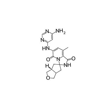 Cc1cc(Nc2cc(N)ncn2)c(=O)n2c1C(=O)NC21CC2COC[C@@H]2C1